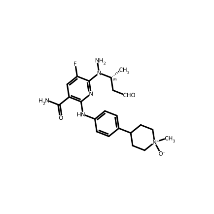 C[C@H](CC=O)N(N)c1nc(Nc2ccc(C3CC[N+](C)([O-])CC3)cc2)c(C(N)=O)cc1F